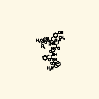 CSCC[C@@H](NC(=O)[C@H](Cc1ccc(O)cc1)NC(=O)OC(C)(C)C)C(=O)NCC(=O)N[C@@H](Cc1ccccc1)C(=O)NC(=O)C12CC3CC(CC(N)(C3)C1)C2